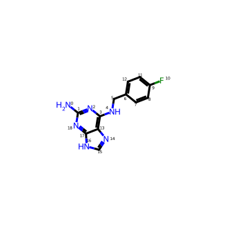 Nc1nc(NCc2ccc(F)cc2)c2nc[nH]c2n1